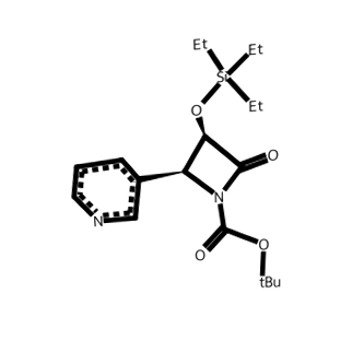 CC[Si](CC)(CC)O[C@H]1C(=O)N(C(=O)OC(C)(C)C)[C@H]1c1cccnc1